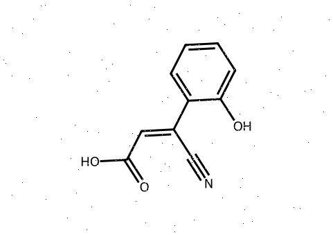 N#CC(=CC(=O)O)c1ccccc1O